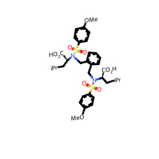 COc1ccc(S(=O)(=O)N(Cc2ccccc2CN([C@@H](CC(C)C)C(=O)O)S(=O)(=O)c2ccc(OC)cc2)[C@H](CC(C)C)C(=O)O)cc1